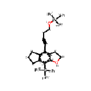 CC(C)[Si](OCCC#Cc1c2c(c([Si](C(C)C)(C(C)C)C(C)C)c3c1CCO3)CCC2)(C(C)C)C(C)C